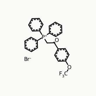 O=C(C[P+](c1ccccc1)(c1ccccc1)c1ccccc1)c1ccc(OC(F)(F)F)cc1.[Br-]